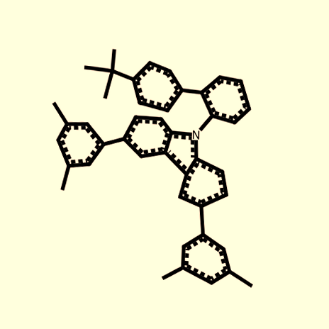 Cc1cc(C)cc(-c2ccc3c(c2)c2cc(-c4cc(C)cc(C)c4)ccc2n3-c2ccccc2-c2ccc(C(C)(C)C)cc2)c1